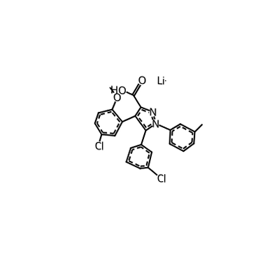 COc1ccc(Cl)cc1-c1c(C(=O)O)nn(-c2cccc(C)c2)c1-c1cccc(Cl)c1.[Li]